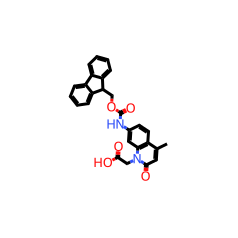 Cc1cc(=O)n(CC(=O)O)c2cc(NC(=O)OCC3c4ccccc4-c4ccccc43)ccc12